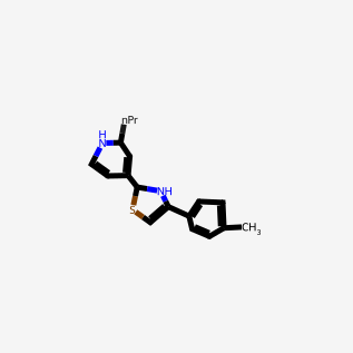 CCCC1C=C(C2NC(c3ccc(C)cc3)=CS2)C=CN1